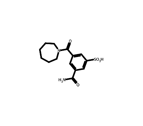 NC(=O)c1cc(C(=O)N2CCCCCC2)cc(S(=O)(=O)O)c1